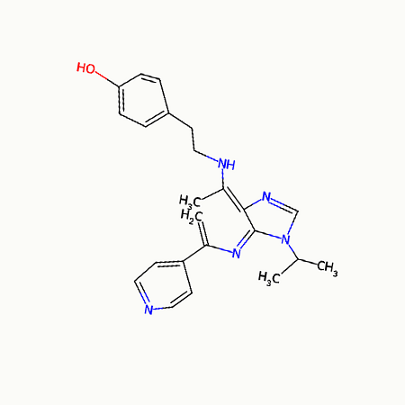 C=C(/N=C1\C(=C(/C)NCCc2ccc(O)cc2)N=CN1C(C)C)c1ccncc1